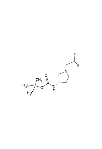 CC(C)(C)OC(=O)N[C@H]1CCN(CC(F)F)C1